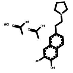 CC(=O)O.CC(=O)O.Cl.Oc1cc2ccc(CCN3CCCC3)cc2cc1O